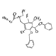 CCc1c(CN(CC(C)C)C(=O)OC(C)(C)C)c(F)c(C)c(C(=O)Oc2ccccc2)c1OCc1ccccc1